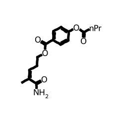 CCCC(=O)Oc1ccc(C(=O)OCCC=C(C)C(N)=O)cc1